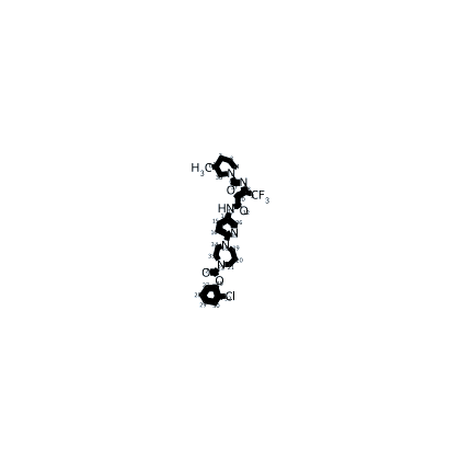 CC1CCCN(c2nc(C(F)(F)F)c(C(=O)Nc3ccc(N4CCCN(C(=O)Oc5ccccc5Cl)CC4)nc3)o2)C1